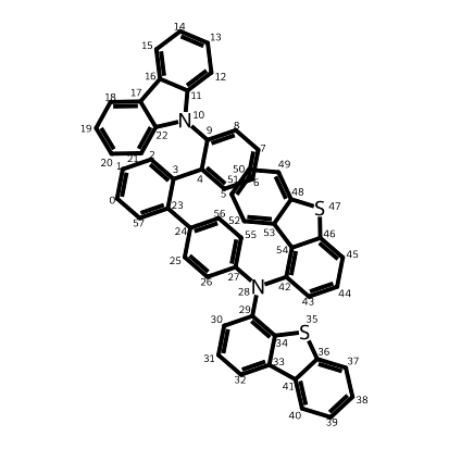 c1ccc(-c2ccccc2-n2c3ccccc3c3ccccc32)c(-c2ccc(N(c3cccc4c3sc3ccccc34)c3cccc4sc5ccccc5c34)cc2)c1